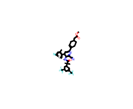 COC(=O)CC1CCC(c2cc(-c3ccc(F)cc3C)c(N(C)C(=O)C(C)(C)c3cc(C(F)(F)F)cc(C(F)(F)F)c3)c(C#N)n2)CC1